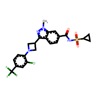 Cn1nc(C2CN(c3ccc(C(F)(F)F)cc3Cl)C2)c2ccc(C(=O)NS(=O)(=O)C3CC3)cc21